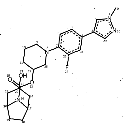 Cn1cc(-c2ccc(N3CCCC(OC(=O)N4C5CCC4CC(O)C5)C3)c(F)c2)cn1